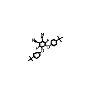 CC(C)(C)c1ccc(Oc2c(F)c(C#N)c(C#N)c(F)c2Oc2ccc(C(C)(C)C)cc2)cc1